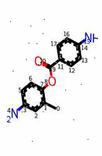 Cc1cc(N)ccc1OC(=O)c1ccc(N)cc1